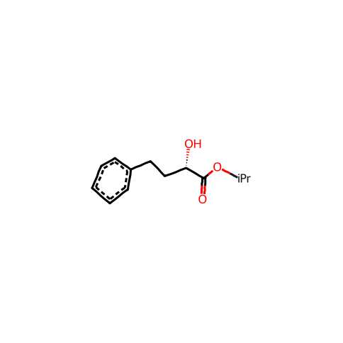 CC(C)OC(=O)[C@@H](O)CCc1ccccc1